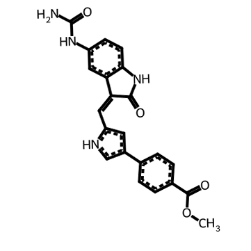 COC(=O)c1ccc(-c2c[nH]c(C=C3C(=O)Nc4ccc(NC(N)=O)cc43)c2)cc1